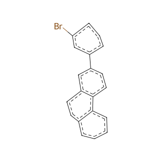 Brc1cccc(-c2ccc3c(ccc4ccccc43)c2)c1